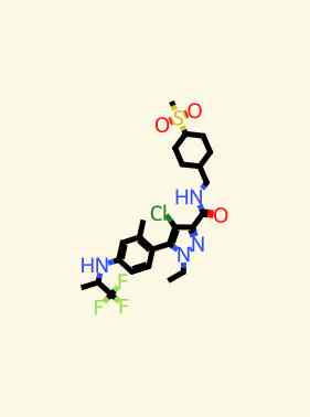 CCn1nc(C(=O)NCC2CCC(S(C)(=O)=O)CC2)c(Cl)c1-c1ccc(NC(C)C(F)(F)F)cc1C